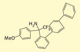 COc1ccc(C(N)(c2ccccc2-c2ccc(-c3ccccc3)cc2)C(F)(F)F)cc1